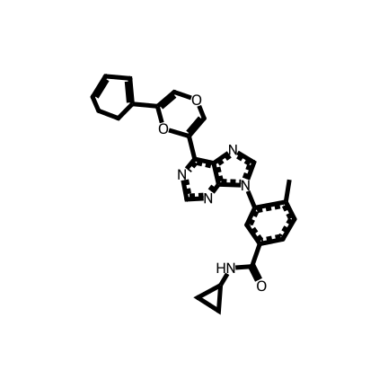 Cc1ccc(C(=O)NC2CC2)cc1-n1cnc2c(C3=COC=C(C4=CC=CCC4)O3)ncnc21